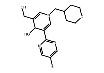 OCC1=CN(CC2CCOCC2)C=C(c2ncc(Br)cn2)C1O